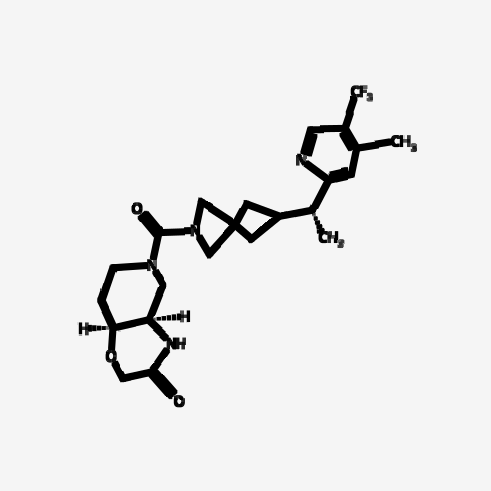 Cc1cc([C@H](C)C2CC3(C2)CN(C(=O)N2CC[C@@H]4OCC(=O)N[C@@H]4C2)C3)ncc1C(F)(F)F